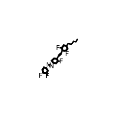 CCCCCc1cc(F)c(C#Cc2ccc(N=Nc3ccc(F)c(F)c3)cc2F)c(F)c1